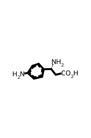 Nc1ccc([C@H](N)CC(=O)O)cc1